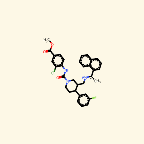 COC(=O)c1ccc(NC(=O)N2CCC(c3cccc(F)c3)C(CN[C@H](C)c3cccc4ccccc34)C2)c(Cl)c1